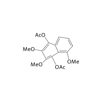 COc1c(OC)c(OC(C)=O)c2c(OC)cccc2c1OC(C)=O